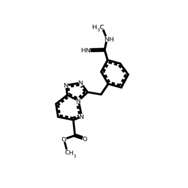 CNC(=N)c1cccc(Cc2nnc3ccc(C(=O)OC)nn23)c1